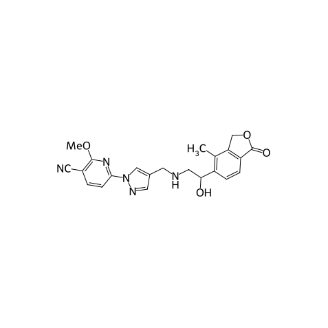 COc1nc(-n2cc(CNCC(O)c3ccc4c(c3C)COC4=O)cn2)ccc1C#N